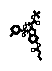 CCCC(=O)Oc1ccc2c(c1)CN(NC(=O)OC(C)(C)C)N2S(=O)(=O)c1cccc(C)c1